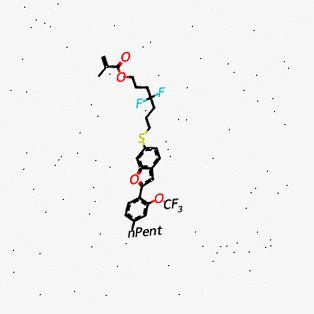 C=C(C)C(=O)OCCCC(F)(F)CCCSc1ccc2cc(-c3ccc(CCCCC)cc3OC(F)(F)F)oc2c1